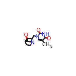 Cc1cn(CC2C(=O)C3CCN2CC3)c(=O)[nH]c1=O